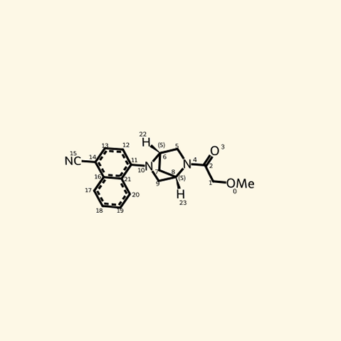 COCC(=O)N1C[C@@H]2C[C@H]1CN2c1ccc(C#N)c2ccccc12